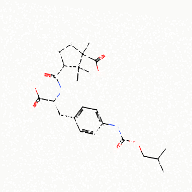 CC(C)COC(=O)Nc1ccc(C[C@H](NC(=O)C2CCC(C)(C(=O)O)C2(C)C)C(=O)O)cc1